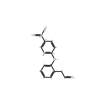 O=CCc1ccccc1Oc1ccc([N+](=O)[O-])cn1